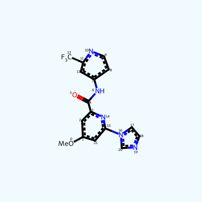 COc1cc(C(=O)Nc2ccnc(C(F)(F)F)c2)nc(-n2ccnc2)c1